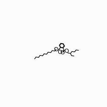 CCCCCCCCCCCOC(=O)c1ccccc1C(=O)OCC(CC)CCCC